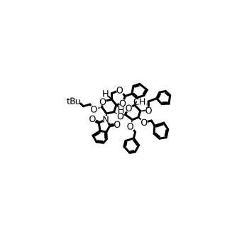 C[C@@H]1O[C@@H](O[C@H]2[C@@H]3OC(c4ccccc4)OC[C@H]3O[C@@H](OCCC(C)(C)C)[C@@H]2N2C(=O)c3ccccc3C2=O)[C@@H](OCc2ccccc2)[C@H](OCc2ccccc2)[C@@H]1OCc1ccccc1